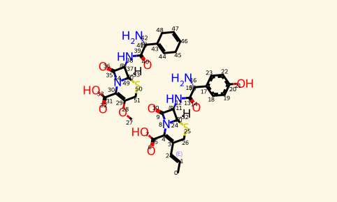 C/C=C/C1=C(C(=O)O)N2C(=O)[C@@H](NC(=O)[C@H](N)c3ccc(O)cc3)[C@H]2SC1.COC1=C(C(=O)O)N2C(=O)[C@@H](NC(=O)[C@H](N)C3=CCC=CC3)[C@H]2SC1